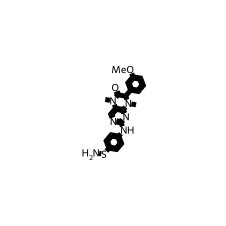 COc1cccc(C2C(=O)N(C)c3cnc(Nc4ccc(SN)cc4)nc3N2C)c1